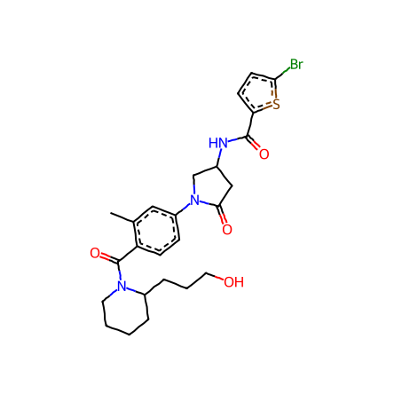 Cc1cc(N2CC(NC(=O)c3ccc(Br)s3)CC2=O)ccc1C(=O)N1CCCCC1CCCO